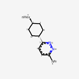 CCCCCC[C@H]1CC[C@H](c2ccc(CCC)nn2)CC1